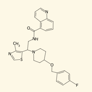 Cc1ncsc1C(CNC(=O)c1cccc2ncccc12)N1CCC(OCc2ccc(F)cc2)CC1